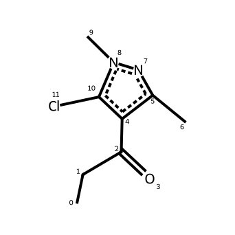 CCC(=O)c1c(C)nn(C)c1Cl